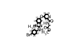 COC(=O)CNC(=O)c1cc(Oc2ccc3c(c2)nc(Nc2ccc(Br)cc2)n3C)ccn1